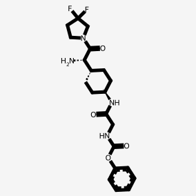 N[C@H](C(=O)N1CCC(F)(F)C1)[C@H]1CC[C@H](NC(=O)CNC(=O)Oc2ccccc2)CC1